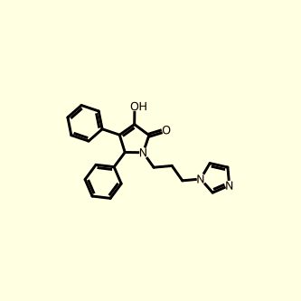 O=C1C(O)=C(c2ccccc2)C(c2ccccc2)N1CCCn1ccnc1